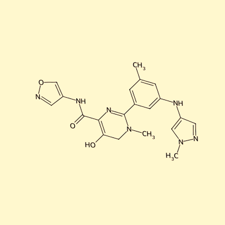 Cc1cc(Nc2cnn(C)c2)cc(C2=NC(C(=O)Nc3cnoc3)=C(O)CN2C)c1